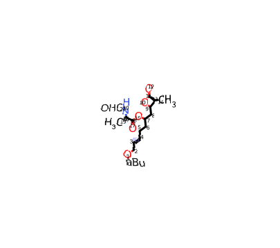 CCCCOC/C=C/CCC(CC1OC(=O)C1C)OC(=O)[C@H](C)NC=O